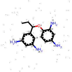 CCC(Oc1ccc(N)cc1N)c1cc(N)cc(N)c1